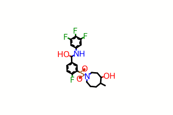 CC1CCCN(S(=O)(=O)c2cc(C(O)Nc3cc(F)c(F)c(F)c3)ccc2F)CCC1O